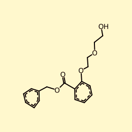 O=C(OCc1ccccc1)c1ccccc1OCCOCCO